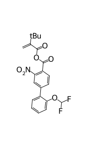 C=C(C(=O)OC(=O)c1ccc(-c2ccccc2OC(F)F)cc1[N+](=O)[O-])C(C)(C)C